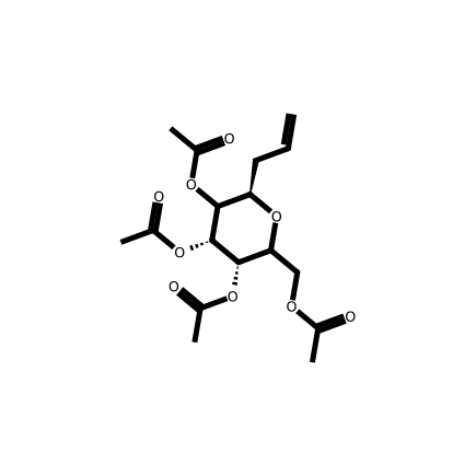 C=CC[C@H]1OC(COC(C)=O)[C@H](OC(C)=O)[C@H](OC(C)=O)C1OC(C)=O